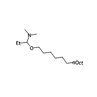 CCCCCCCCCCCCCCOC(CC)N(C)C